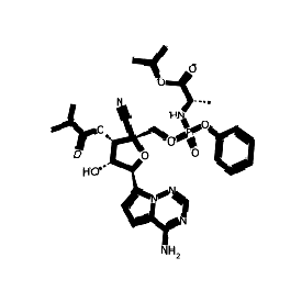 CC(C)OC(=O)[C@H](C)NP(=O)(OC[C@@]1(C#N)O[C@@H](c2ccc3c(N)ncnn23)[C@H](O)[C@@H]1OC(=O)C(C)C)Oc1ccccc1